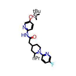 CCCC1CC(CC(=O)Nc2ccc(O[Si](C)(C)C(C)(C)C)cn2)CCN1c1ccc(F)cn1